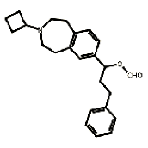 O=COC(CCc1ccccc1)c1ccc2c(c1)CCN(C1CCC1)CC2